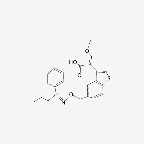 CCCC(=NOCc1ccc2scc(C(=COC)C(=O)O)c2c1)c1ccccc1